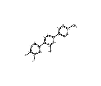 Cc1ccc(-c2cnc(-c3ccc(F)c(F)c3)c(F)c2)cc1